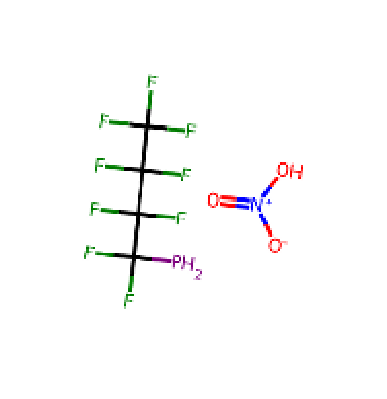 FC(F)(F)C(F)(F)C(F)(F)C(F)(F)P.O=[N+]([O-])O